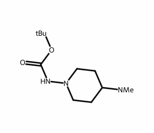 CNC1CCN(NC(=O)OC(C)(C)C)CC1